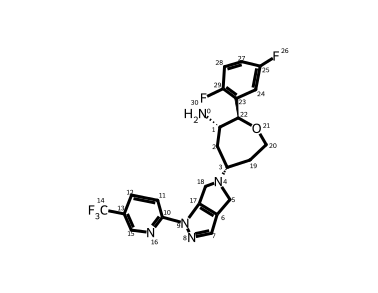 N[C@H]1C[C@@H](N2Cc3cnn(-c4ccc(C(F)(F)F)cn4)c3C2)CCO[C@@H]1c1cc(F)ccc1F